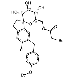 CCOc1ccc(Cc2cc3c(cc2Cl)CC[C@]32O[C@H](COC(=O)CC(C)(C)C)[C@@H](O)[C@H](O)[C@H]2O)cc1